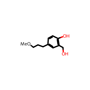 COCCCc1ccc(O)c(CO)c1